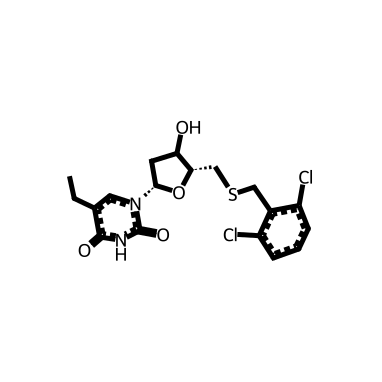 CCc1cn([C@@H]2CC(O)[C@H](CSCc3c(Cl)cccc3Cl)O2)c(=O)[nH]c1=O